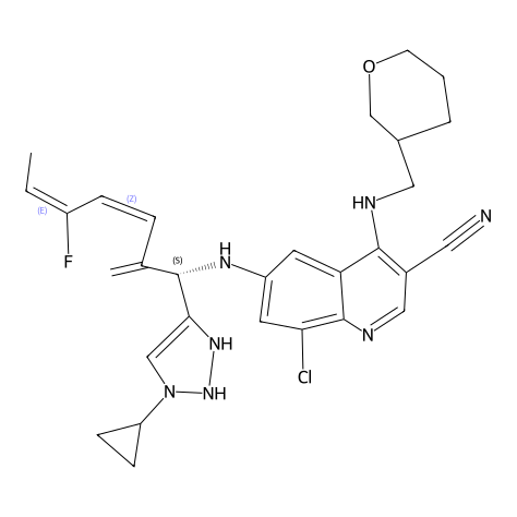 C=C(/C=C\C(F)=C/C)[C@H](Nc1cc(Cl)c2ncc(C#N)c(NCC3CCCOC3)c2c1)C1=CN(C2CC2)NN1